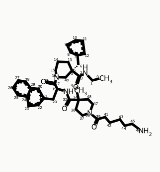 CCNC(=O)[C@]1(Cc2ccccc2)CCCN(C(=O)C(Cc2ccc3ccccc3c2)NC(=O)C2(C)CCN(C(=O)CCCCCN)CC2)C1